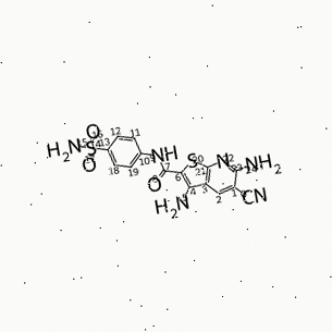 N#Cc1cc2c(N)c(C(=O)Nc3ccc(S(N)(=O)=O)cc3)sc2nc1N